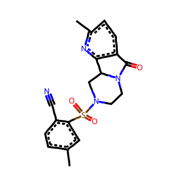 Cc1ccc(C#N)c(S(=O)(=O)N2CCN3C(=O)c4ccc(C)nc4C3C2)c1